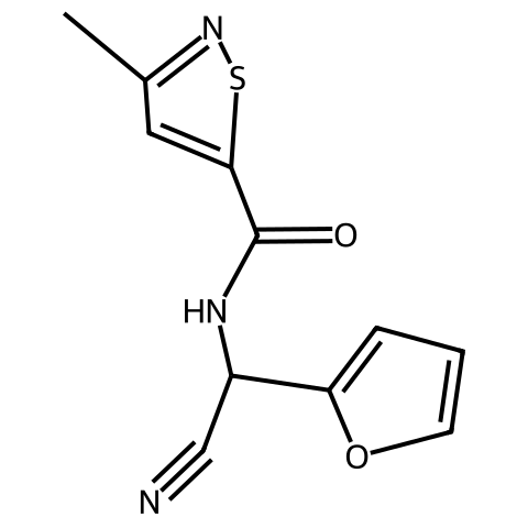 Cc1cc(C(=O)NC(C#N)c2ccco2)sn1